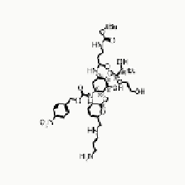 CC[C@@H](O)[C@H](OCCO)O[C@@H]1[C@@H](O)[C@H](O[C@@H]2CCC=C(CNCCCN)O2)[C@@H](NC(=O)OCc2ccc([N+](=O)[O-])cc2)C[C@H]1NC(=O)CCNC(=O)OC(C)(C)C